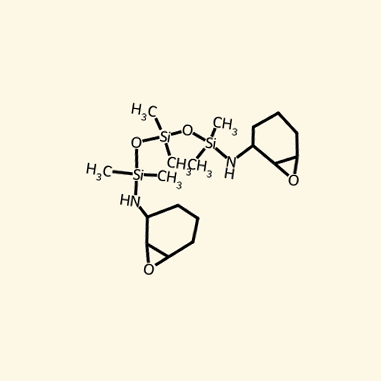 C[Si](C)(NC1CCCC2OC12)O[Si](C)(C)O[Si](C)(C)NC1CCCC2OC12